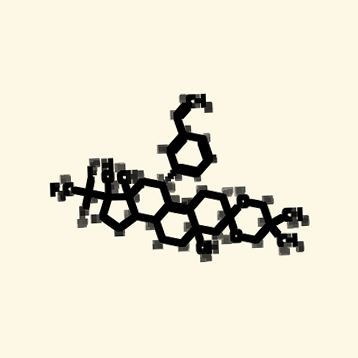 C=Cc1cccc([C@H]2CC3(C)C(CCC3(O)C(F)(F)C(F)(F)F)C3CCC4(O)CC5(CCC4=C32)OCC(C)(C)CO5)c1